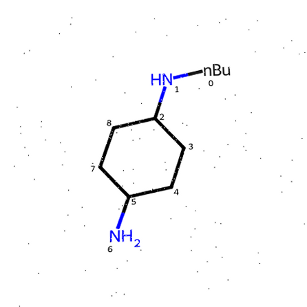 CCCCNC1CCC(N)CC1